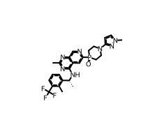 Cc1nc(N[C@H](C)c2cccc(C(F)(F)F)c2C)c2cc(P3(=O)CCN(c4ccn(C)n4)CC3)ncc2n1